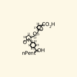 CCCCC[C@@H](O)c1ccc(N2C(=O)CCC2COCc2ccc(C(=O)O)o2)cc1